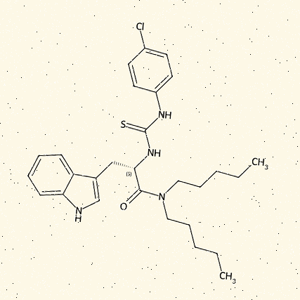 CCCCCN(CCCCC)C(=O)[C@H](Cc1c[nH]c2ccccc12)NC(=S)Nc1ccc(Cl)cc1